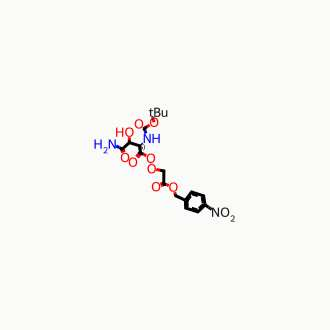 CC(C)(C)OC(=O)N[C@H](C(=O)OOCC(=O)OCc1ccc([N+](=O)[O-])cc1)C(O)C(N)=O